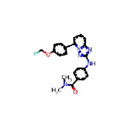 CN(C)C(=O)c1ccc(Nc2nc3cccc(-c4ccc(OCF)cc4)n3n2)cc1